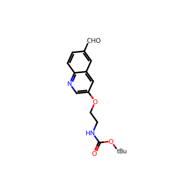 CC(C)(C)OC(=O)NCCOc1cnc2ccc(C=O)cc2c1